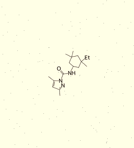 CCC1(C)CC(NC(=O)n2nc(C)cc2C)CC(C)(C)C1